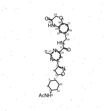 CC(=O)N[C@H]1CC[C@H](C2CC(c3cc(C(=O)NCc4ccc5c(c4)NC(=O)CO5)nc(C)n3)=NO2)CC1